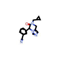 N#Cc1cccc(C2C(=O)N(CC3CC3)Cc3cncn32)c1